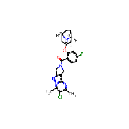 Cc1nc2c3c(nn2c(C)c1Cl)CN(C(=O)c1ccc(F)cc1OC1C[C@H]2CC[C@@H](C1)N2C)C3